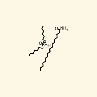 CCCCCCCCC=CCCCCCCCC(N)=O.CCCCCCOP(=O)(O)OCCCCCC